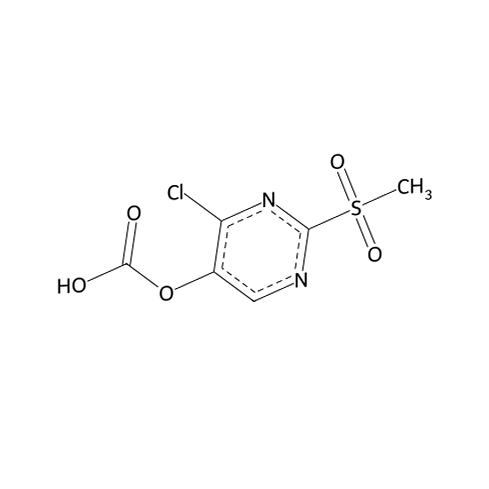 CS(=O)(=O)c1ncc(OC(=O)O)c(Cl)n1